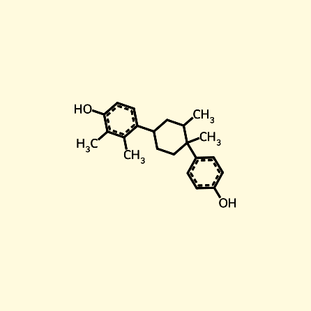 Cc1c(O)ccc(C2CCC(C)(c3ccc(O)cc3)C(C)C2)c1C